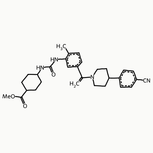 C=C(c1ccc(C)c(NC(=O)NC2CCC(C(=O)OC)CC2)c1)N1CCC(c2ccc(C#N)cc2)CC1